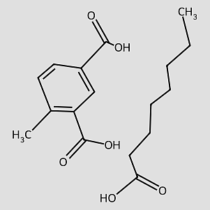 CCCCCCCC(=O)O.Cc1ccc(C(=O)O)cc1C(=O)O